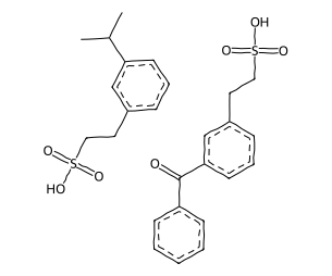 CC(C)c1cccc(CCS(=O)(=O)O)c1.O=C(c1ccccc1)c1cccc(CCS(=O)(=O)O)c1